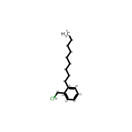 CCCCCCCCCc1ccccc1CCl